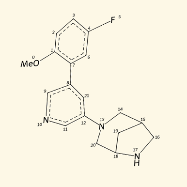 COc1ccc(F)cc1-c1cncc(N2CC3CNC(C3)C2)c1